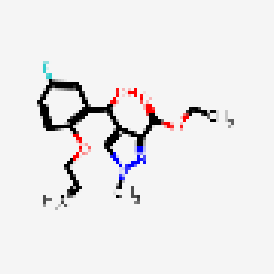 C=CCOc1ccc(F)cc1C(O)c1cn(C)nc1C(=O)OCC